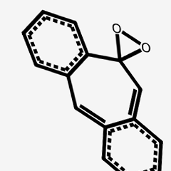 C1=c2ccccc2=CC2(OO2)c2ccccc21